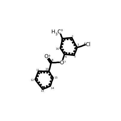 Cc1[c]c(Cl)cc(OC(=O)c2ccccc2)c1